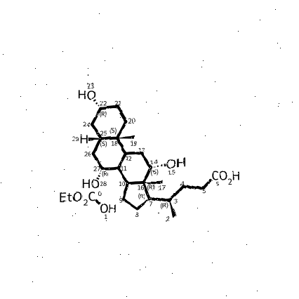 CCOC(=O)O.C[C@H](CCC(=O)O)[C@H]1CCC2C3C(C[C@H](O)[C@@]21C)[C@@]1(C)CC[C@@H](O)C[C@H]1C[C@H]3O